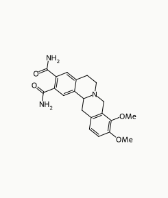 COc1ccc2c(c1OC)CN1CCc3cc(C(N)=O)c(C(N)=O)cc3C1C2